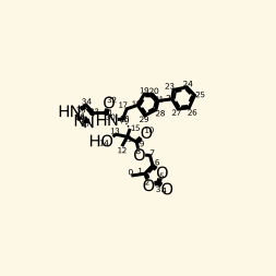 Cc1oc(=O)oc1COC(=O)C(C)(CO)C[C@@H](Cc1ccc(-c2ccccc2)cc1)NC(=O)c1c[nH]nn1